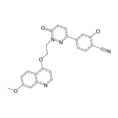 COc1ccc2c(OCCn3nc(-c4ccc(C#N)c(Cl)c4)ccc3=O)ccnc2c1